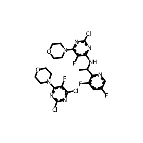 CC(Nc1nc(Cl)nc(N2CCOCC2)c1F)c1ncc(F)cc1F.Fc1c(Cl)nc(Cl)nc1N1CCOCC1